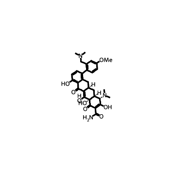 COc1ccc(-c2ccc(O)c3c2C[C@H]2C[C@H]4[C@H](N(C)C)C(O)=C(C(N)=O)C(=O)[C@@]4(O)C(O)=C2C3=O)c(CN(C)C)c1